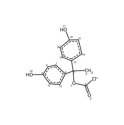 CC(OC(=O)Cl)(c1ccc(O)cc1)c1ccc(O)cc1